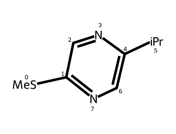 CSc1cnc(C(C)C)cn1